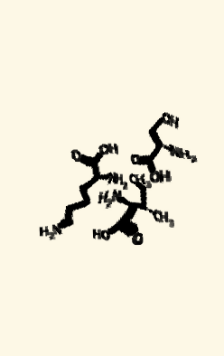 CC[C@H](C)[C@H](N)C(=O)O.NCCCC[C@H](N)C(=O)O.N[C@@H](CO)C(=O)O